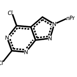 CCCn1cc2c(Cl)nc(Cl)nc2n1